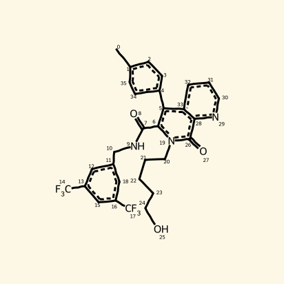 Cc1ccc(-c2c(C(=O)NCc3cc(C(F)(F)F)cc(C(F)(F)F)c3)n(CCCCCO)c(=O)c3ncccc23)cc1